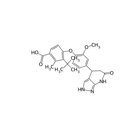 COc1cc(C2CC(=O)Nc3n[nH]cc32)ccc1Oc1ccc(C(=O)O)c(C)c1C(C)(C)C